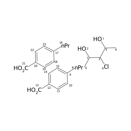 CC(O)C(Cl)C(C)O.CCCc1ccc(C(=O)O)cc1.CCCc1ccc(C(=O)O)cc1